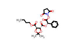 CCCCOC(=O)[C@@H]1OC(C)(C)O[C@H]1C(=O)O[C@H](C(=O)ON1C(=O)CCC1=O)c1ccccc1